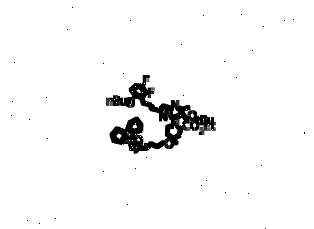 CCCCOc1ccc(F)c(F)c1CC=Cc1cc2nc(C)c([C@H](OC(C)(C)C)C(=O)OCC)c(N3CCC(C)(OCCCC[C@@H](C)O[Si](c4ccccc4)(c4ccccc4)C(C)(C)C)CC3)n2n1